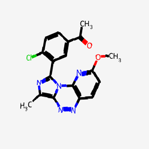 COc1ccc2nnc3c(C)nc(-c4cc(C(C)=O)ccc4Cl)n3c2n1